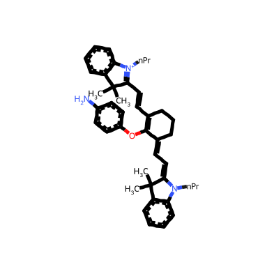 CCCN1/C(=C/C=C2\CCCC(/C=C/C3=[N+](CCC)c4ccccc4C3(C)C)=C2Oc2ccc(N)cc2)C(C)(C)c2ccccc21